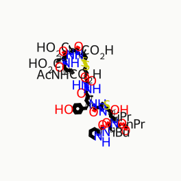 CCCC(=O)OCN(C(=O)[C@@H](NC(=O)[C@H]1CCCCN1C)C(C)CC)[C@H](C[C@@H](O)c1nc(C(=O)N[C@@H](Cc2ccc(O)cc2)C[C@H](C)C(=O)NNC(=O)OCCSSC[C@@H](NC(=O)[C@H](CC(=O)O)NC(=O)[C@H](CC(=O)O)NC(=O)[C@H](CC(=O)O)NC(C)=O)C(=O)O)cs1)C(C)C